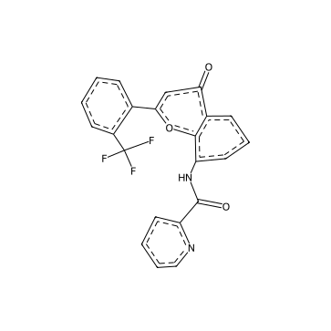 O=C(Nc1cccc2c(=O)cc(-c3ccccc3C(F)(F)F)oc12)c1ccccn1